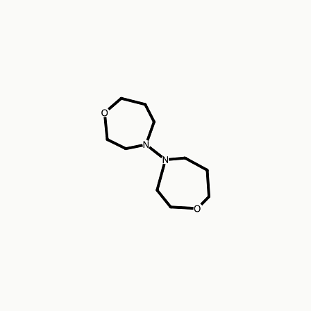 C1COCCN(N2CCCOCC2)C1